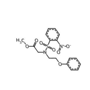 COC(=O)CN(CCOc1ccccc1)S(=O)(=O)c1ccccc1[N+](=O)[O-]